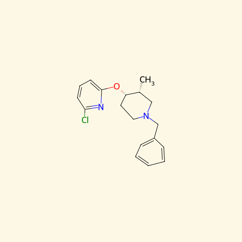 C[C@@H]1CN(Cc2ccccc2)CC[C@@H]1Oc1cccc(Cl)n1